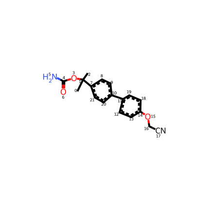 CC(C)(OC(N)=O)c1ccc(-c2ccc(OCC#N)cc2)cc1